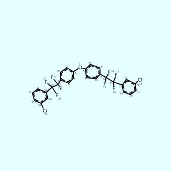 FC(F)(c1ccc(Oc2ccc(C(F)(F)C(F)(F)c3cccc(Cl)c3)cc2)cc1)C(F)(F)c1cccc(Cl)c1